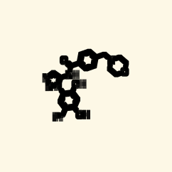 CC(C)c1cc(-n2nncc2NC(=O)c2ccc(CN3CCOCC3)cc2)c(O)cc1O